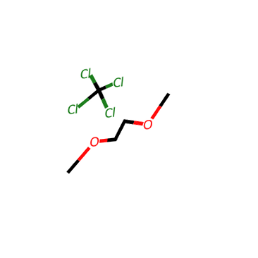 COCCOC.ClC(Cl)(Cl)Cl